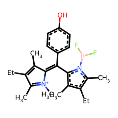 CCC1=C(C)/C(=C(\c2ccc(O)cc2)c2c(C)c(CC)c(C)n2B(F)F)[N+](C)=C1C